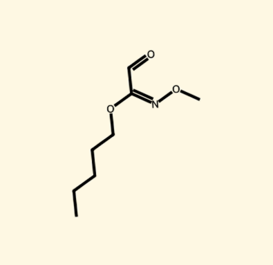 CCCCCOC(C=O)=NOC